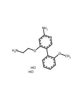 COc1ccccc1-c1cnc(N)cc1OCCN.Cl.Cl